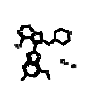 COc1cc(C)cc2cc(-c3c(CN4CCNCC4)cn4ncnc(N)c34)sc12.Cl.Cl.Cl